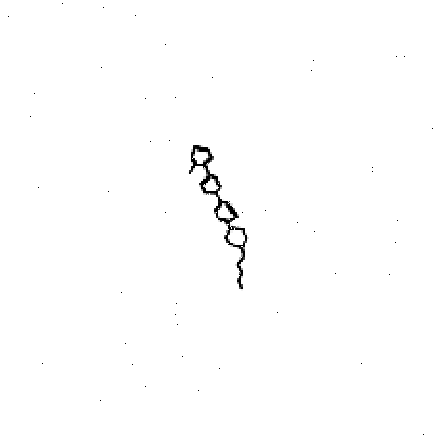 CCCCCC1CCC(c2ccc(-c3ccc(-c4ccccc4C)cc3)cc2)CC1